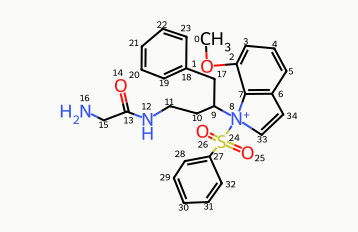 COc1cccc2c1[N+](C(CCNC(=O)CN)Cc1ccccc1)(S(=O)(=O)c1ccccc1)C=C2